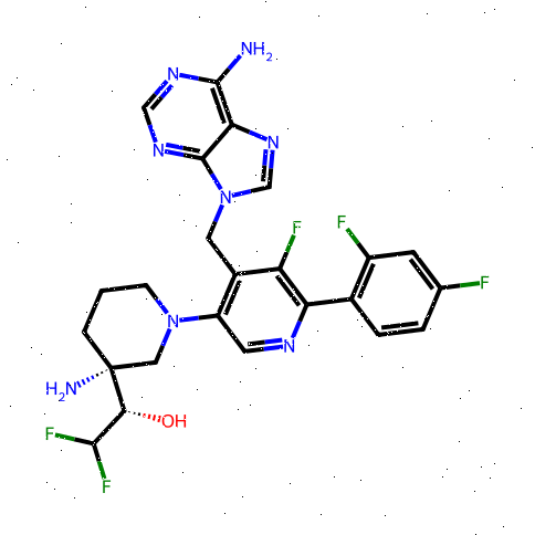 Nc1ncnc2c1ncn2Cc1c(N2CCC[C@](N)([C@H](O)C(F)F)C2)cnc(-c2ccc(F)cc2F)c1F